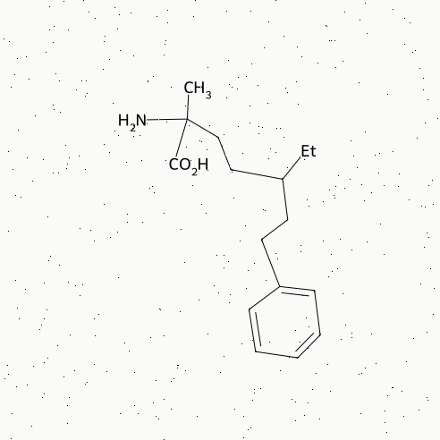 CCC(CCc1ccccc1)CCC(C)(N)C(=O)O